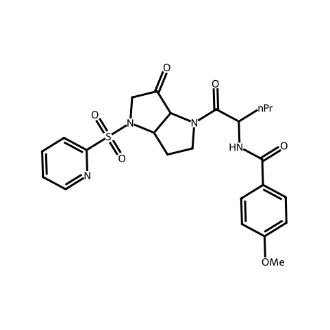 CCCC(NC(=O)c1ccc(OC)cc1)C(=O)N1CCC2C1C(=O)CN2S(=O)(=O)c1ccccn1